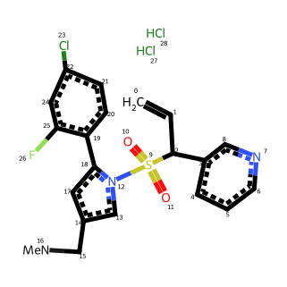 C=CC(c1cccnc1)S(=O)(=O)n1cc(CNC)cc1-c1ccc(Cl)cc1F.Cl.Cl